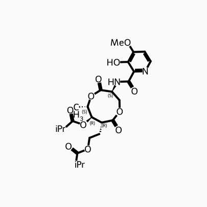 COc1ccnc(C(=O)N[C@H]2COC(=O)[C@H](CCOC(=O)C(C)C)[C@@H](OC(=O)C(C)C)[C@H](C)OC2=O)c1O